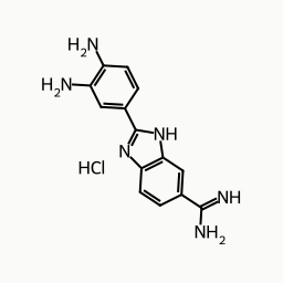 Cl.N=C(N)c1ccc2nc(-c3ccc(N)c(N)c3)[nH]c2c1